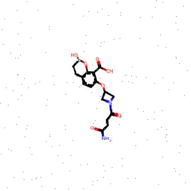 NC(=O)CCC(=O)N1CC(Oc2ccc3c(c2C(=O)O)OB(O)CC3)C1